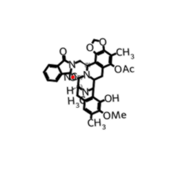 COc1c(C)cc2c(c1O)C1C3Cc4c(OC(C)=O)c(C)c5c(c4[C@H](CN4C(=O)c6ccccc6C4=O)N3[C@@H](C#N)[C@H](C2)N1C)OCO5